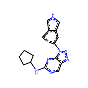 c1cc2c[nH]cc2cc1-n1nnc2cnc(NC3CCCC3)nc21